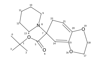 CC(C)(C)OC(=O)C1(N2CCCCC2)C=C2OCCOC2=CC1